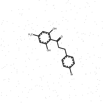 Cc1cc(O)c(C(=O)CCc2ccc(Br)cc2)c(O)c1